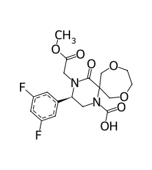 COC(=O)CN1C(=O)C2(COCCOC2)N(C(=O)O)C[C@H]1c1cc(F)cc(F)c1